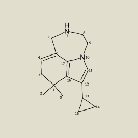 CC1(C)CC=C2CNCCn3cc(C4CC4)c1c32